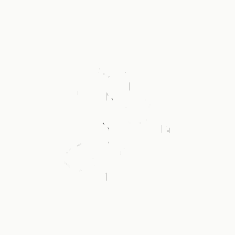 CC1CN(C(=O)c2ccccc2F)c2cc(Br)ccc2N1C(=O)C(F)(F)F